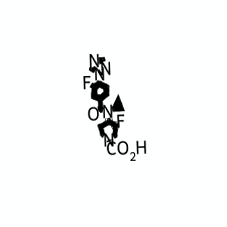 O=C(O)N1CC[C@@H](N(C(=O)c2ccc(-n3cncn3)c(F)c2)C2CC2)[C@@H](F)C1